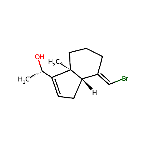 C[C@H](O)C1=CC[C@H]2/C(=C/Br)CCC[C@]12C